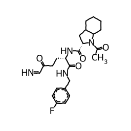 CC(=O)N1C2CCCCC2C[C@H]1C(=O)N[C@@H](CCC(=O)C=N)C(=O)NCc1ccc(F)cc1